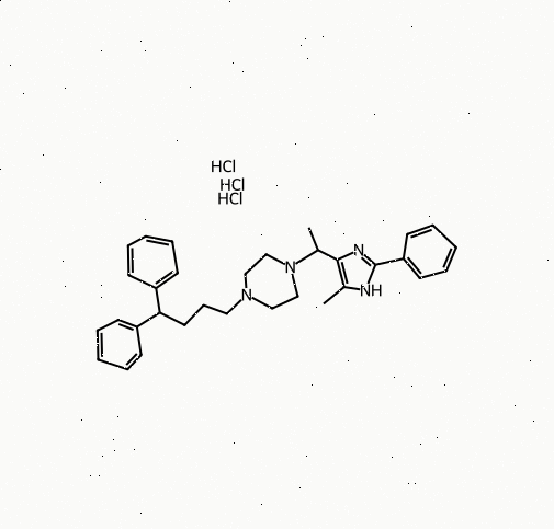 Cc1[nH]c(-c2ccccc2)nc1C(C)N1CCN(CCCC(c2ccccc2)c2ccccc2)CC1.Cl.Cl.Cl